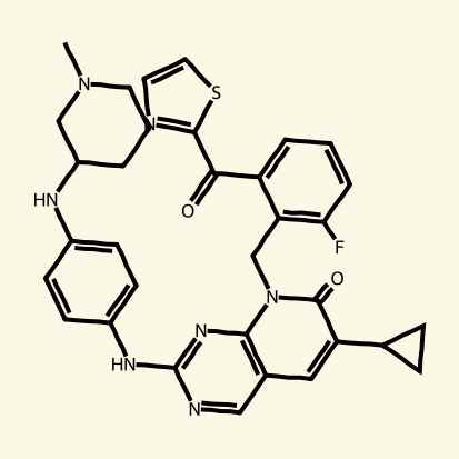 CN1CCCC(Nc2ccc(Nc3ncc4cc(C5CC5)c(=O)n(Cc5c(F)cccc5C(=O)c5nccs5)c4n3)cc2)C1